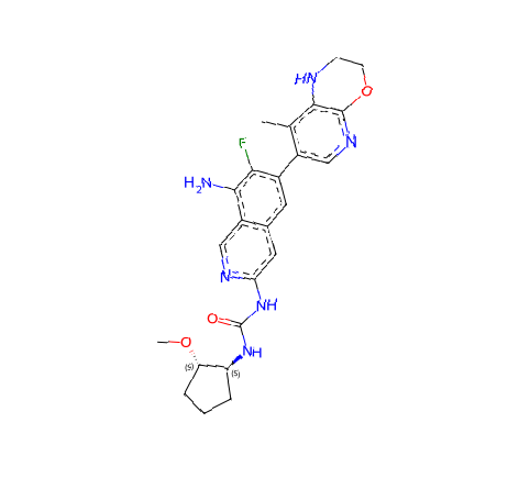 CO[C@H]1CCC[C@@H]1NC(=O)Nc1cc2cc(-c3cnc4c(c3C)NCCO4)c(F)c(N)c2cn1